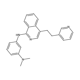 CN(C)c1cccc(Nc2ncc(CCc3cccnc3)c3ccccc23)c1